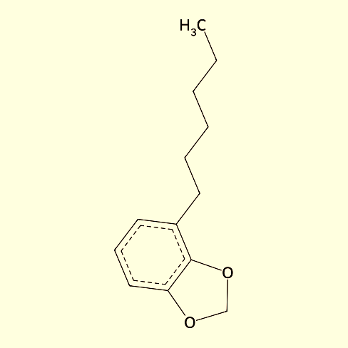 CCCCCCc1cccc2c1OCO2